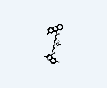 Cc1ccc2nc3c(c(NCCCN(CCCNc4cc(C)nc5ccc(Cl)cc45)S(C)(=O)=O)c2c1)CCCC3